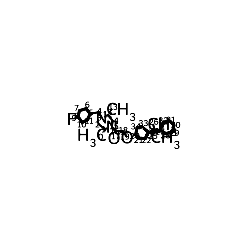 C[C@@H]1CN(Cc2ccc(F)cc2)[C@@H](C)CN1C(=O)COc1ccc(C(C)(C)c2ccccc2)cc1